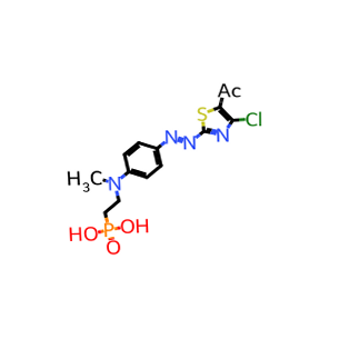 CC(=O)c1sc(/N=N/c2ccc(N(C)CCP(=O)(O)O)cc2)nc1Cl